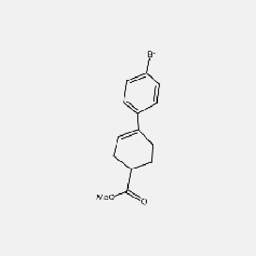 COC(=O)C1CC=C(c2ccc(Br)cc2)CC1